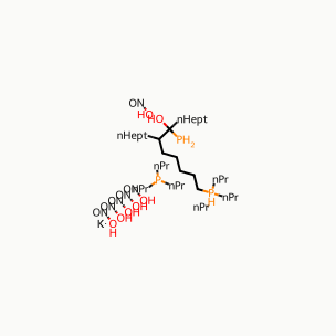 CCCCCCCC(CCCCC[PH](CCC)(CCC)CCC)C(O)(P)CCCCCCC.CCCP(CCC)CCC.O=NO.O=NO.O=NO.O=NO.O=NO.O=NO.[K]